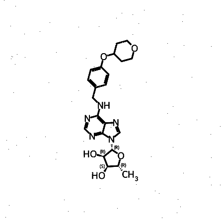 C[C@H]1O[C@@H](n2cnc3c(NCc4ccc(OC5CCOCC5)cc4)ncnc32)[C@H](O)[C@@H]1O